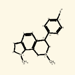 CN1Cc2c(ccc3c2N(C)CC3)C(c2ccc(F)cc2)C1